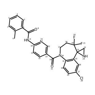 Cc1ccccc1C(=O)Nc1ccc(C(=O)N2CCC(F)(F)C3(CN3)c3cc(Cl)ccc32)cn1